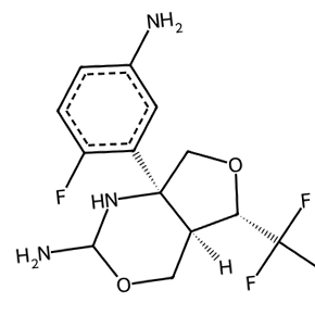 CC(F)(F)[C@H]1OC[C@]2(c3cc(N)ccc3F)NC(N)OC[C@H]12